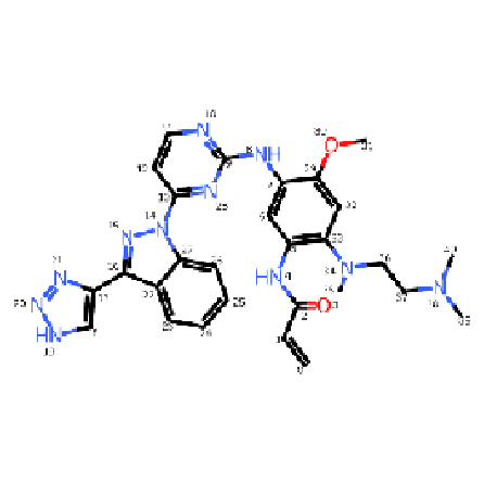 C=CC(=O)Nc1cc(Nc2nccc(-n3nc(-c4c[nH]nn4)c4ccccc43)n2)c(OC)cc1N(C)CCN(C)C